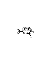 CC(C)C(C)[O][Cu][O]C(C)C(C)C